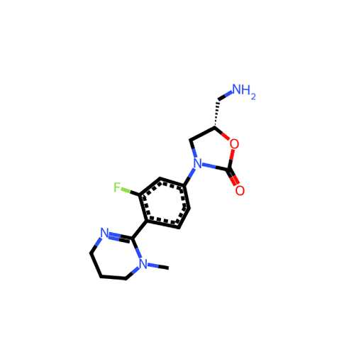 CN1CCCN=C1c1ccc(N2C[C@H](CN)OC2=O)cc1F